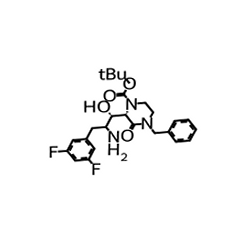 CC(C)(C)OC(=O)N1CCN(Cc2ccccc2)C(=O)[C@@H]1[C@@H](O)C(N)Cc1cc(F)cc(F)c1